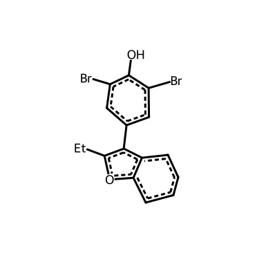 CCc1oc2ccccc2c1-c1cc(Br)c(O)c(Br)c1